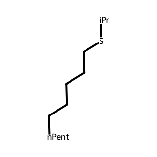 CCCCCCCCCCSC(C)C